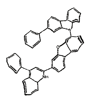 C1=CC2=C(c3ccccc3)C=C(c3ccc4c(c3)oc3c(-n5c6ccccc6c6ccc(-c7ccccc7)cc65)cccc34)NC2C=C1